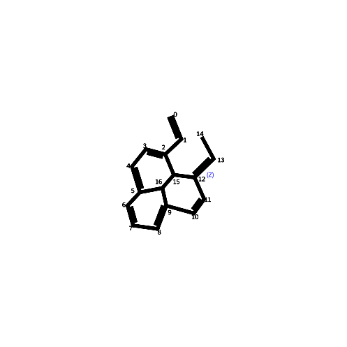 C=CC1=CC=C2C=CC=C3C=C/C(=C/C)C1C32